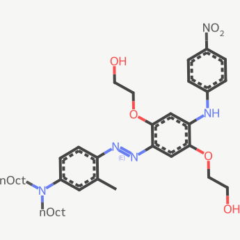 CCCCCCCCN(CCCCCCCC)c1ccc(/N=N/c2cc(OCCO)c(Nc3ccc([N+](=O)[O-])cc3)cc2OCCO)c(C)c1